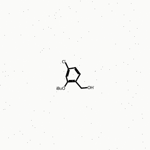 CC(C)COc1cc(Cl)ccc1CO